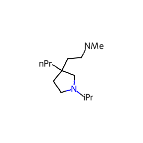 CCCC1(CCNC)CCN(C(C)C)C1